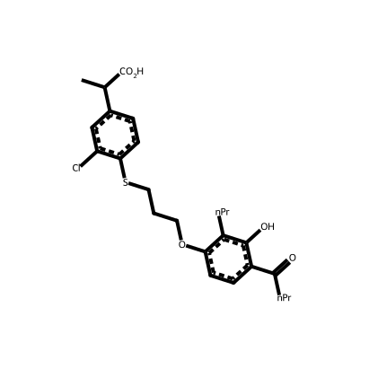 CCCC(=O)c1ccc(OCCCSc2ccc(C(C)C(=O)O)cc2Cl)c(CCC)c1O